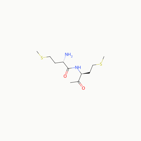 CSCC[C@H](NC(=O)[C@@H](N)CCSC)C(C)=O